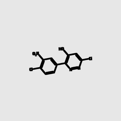 O=[N+]([O-])c1cc(-c2nnc(Cl)cc2O)ccc1Cl